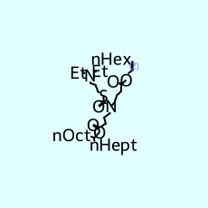 CCCCCC/C=C\COC(=O)CCCN(CCCC(=O)OC(CCCCCCC)CCCCCCCC)C(=O)SCCCN(CC)CC